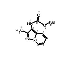 Cc1nn2ccccc2c1NC(=O)OC(C)(C)C